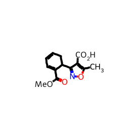 COC(=O)C1=CC=CCC1c1noc(C)c1C(=O)O